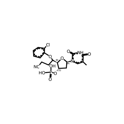 Cc1cn([C@H]2C[C@H](OP(=O)(O)O)[C@@H](C(CCC#N)Oc3ccccc3Cl)O2)c(=O)[nH]c1=O